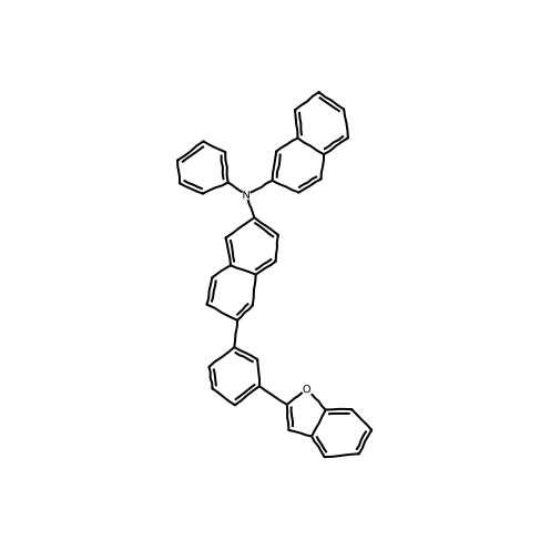 c1ccc(N(c2ccc3ccccc3c2)c2ccc3cc(-c4cccc(-c5cc6ccccc6o5)c4)ccc3c2)cc1